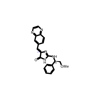 COC[C@H](NC1=N/C(=C\c2ccc3nccnc3c2)C(=O)N1)c1ccccc1